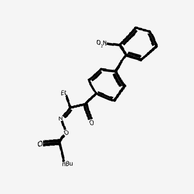 CCCCC(=O)O/N=C(/CC)C(=O)c1ccc(-c2ccccc2[N+](=O)[O-])cc1